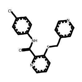 O=C(Nc1ccc(Cl)cc1)c1ncccc1SCc1ccncc1